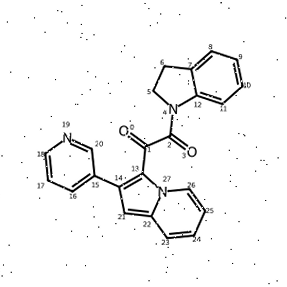 O=C(C(=O)N1CCc2ccccc21)c1c(-c2cccnc2)cc2ccccn12